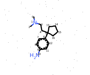 CN(C)CCC1(c2ccc(N)cc2)CCCC1